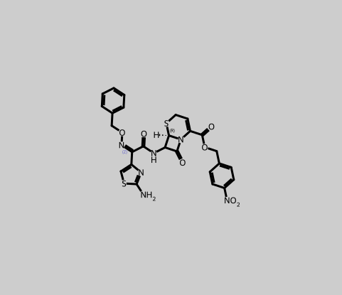 Nc1nc(/C(=N/OCc2ccccc2)C(=O)NC2C(=O)N3C(C(=O)OCc4ccc([N+](=O)[O-])cc4)=CCS[C@H]23)cs1